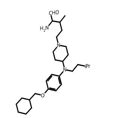 CC(C)CCN(c1ccc(OCC2CCCCC2)cc1)C1CCN(CCC(C)C(N)C=O)CC1